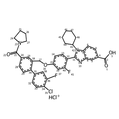 Cl.O=C(O)c1ccc2c(c1)nc(-c1ccc(OCc3cc(C(=O)N4CCCC4)ccc3-c3ccc(Cl)c(F)c3)cc1F)n2C1CCCCC1